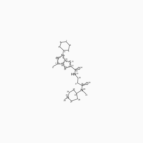 Cc1nn(C2CCCCC2)c2sc(C(=O)NCCC(=O)N(C)C3CCN(C)CC3)cc12